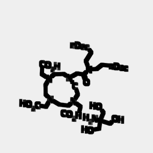 CCCCCCCCCCCCN(CCCCCCCCCCCC)C(=O)CN1CCN(CC(=O)O)CCN(CC(=O)O)CCN(CC(=O)O)CC1.NC(CO)(CO)CO